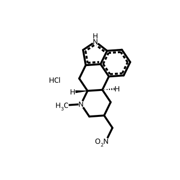 CN1CC(C[N+](=O)[O-])C[C@@H]2c3cccc4[nH]cc(c34)C[C@H]21.Cl